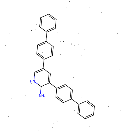 NC1NC=C(c2ccc(-c3ccccc3)cc2)C=C1c1ccc(-c2ccccc2)cc1